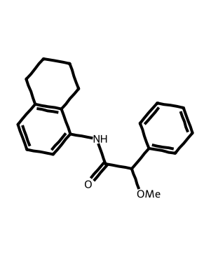 COC(C(=O)Nc1cccc2c1CCCC2)c1ccccc1